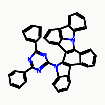 c1ccc(-c2nc(-c3ccccc3)nc(-n3c4ccccc4c4c5ccccc5c5c(c6cccc7c8ccccc8n5c76)c43)n2)cc1